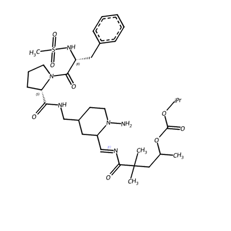 CC(C)OC(=O)OC(C)CC(C)(C)C(=O)/N=C/C1CC(CNC(=O)[C@@H]2CCCN2C(=O)[C@@H](Cc2ccccc2)NS(C)(=O)=O)CCN1N